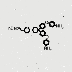 CCCCCCCCCCCC[C@H]1CC[C@H](C2CCC(c3ccc(Oc4ccc(N)cc4)cc3)(c3ccc(Oc4ccc(N)cc4)cc3)CC2)CC1